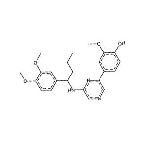 CCCC(Nc1cncc(-c2ccc(O)c(OC)c2)n1)c1ccc(OC)c(OC)c1